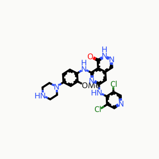 COc1cc(N2CCNCC2)ccc1Nc1nc(Nc2c(Cl)cncc2Cl)cc2cn[nH]c(=O)c12